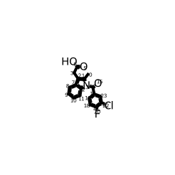 Cc1c(CC(=O)O)c2ccccc2n1C(=O)c1ccc(F)c(Cl)c1